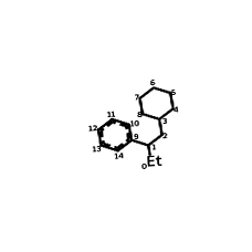 CCC(CC1CCCCC1)c1ccccc1